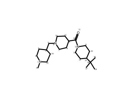 CN1CCC(CN2CCC(C(=O)N3CCC(C(C)(C)C)CC3)CC2)CC1